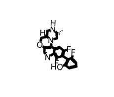 C[C@@H]1CN2c3c(cnc4c(F)c(-c5c(O)cccc5F)c(F)cc34)OC[C@H]2CN1